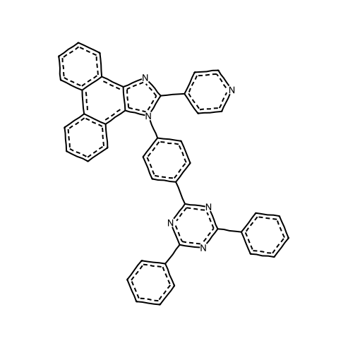 c1ccc(-c2nc(-c3ccccc3)nc(-c3ccc(-n4c(-c5ccncc5)nc5c6ccccc6c6ccccc6c54)cc3)n2)cc1